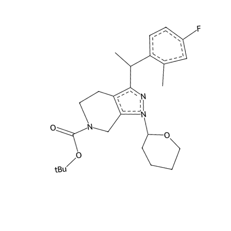 Cc1cc(F)ccc1C(C)c1nn(C2CCCCO2)c2c1CCN(C(=O)OC(C)(C)C)C2